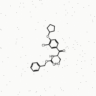 O=C(N[C@H](CO)C(=O)c1ccc(OC2CCCC2)c(Cl)c1)OCc1ccccc1